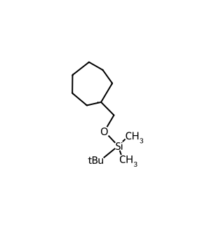 CC(C)(C)[Si](C)(C)OC[C]1CCCCCC1